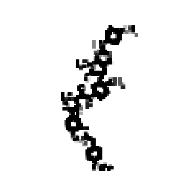 COc1ccc(CCOc2cc(C(=O)N[C@@H](C)C(=O)Nc3ccc(C)c(N4Cc5cnc(Nc6ccc(C)nc6)nc5N(C)C4=O)c3)ccc2[N+](=O)[O-])cc1